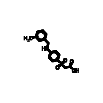 Cc1cccc(CNc2ccc(S(=O)(=O)CC(=O)O)cc2)c1